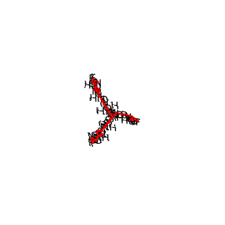 N#C[C@@H]1CC(F)(F)CN1C(=O)CNC(=O)c1ccnc2c(OCCCNC(=O)CCOCCOCCNc3nc(NCCOCCOCCC(=O)NCCCOc4cccc5c(C(=O)NCC(=O)N6CC(F)(F)C[C@H]6C#N)ccnc45)nc(NCCOCCOCCn4cc(CC(CCCF)S(=O)(=O)O)nn4)n3)cccc12